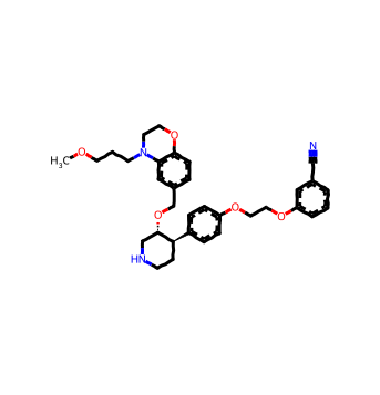 COCCCN1CCOc2ccc(CO[C@H]3CNCC[C@@H]3c3ccc(OCCOc4cccc(C#N)c4)cc3)cc21